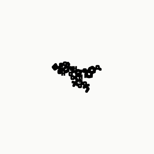 C=C[C@@](CC)(NC(=O)[C@@H]1C[C@@H](Oc2nccc3cc(OC)ccc23)CN1C(=O)[C@@H](NC(=O)OC(C)(C)CC)C(C)(C)C)C(=O)NS(=O)(=O)C1CCC1